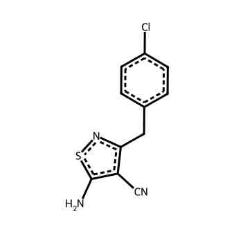 N#Cc1c(Cc2ccc(Cl)cc2)nsc1N